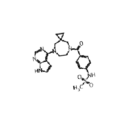 CS(=O)(=O)Nc1ccc(C(=O)N2CCN(c3ncnc4[nH]ccc34)CC3(CC3)C2)cc1